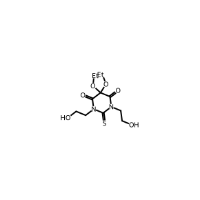 CCOC1(OCC)C(=O)N(CCO)C(=S)N(CCO)C1=O